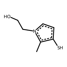 Cc1c(S)ccn1CCO